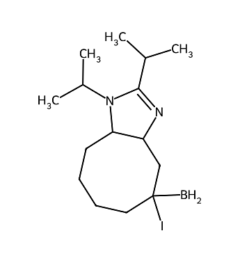 BC1(I)CCCCC2C(C1)N=C(C(C)C)N2C(C)C